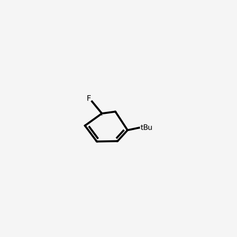 CC(C)(C)C1=CC=C[C](F)C1